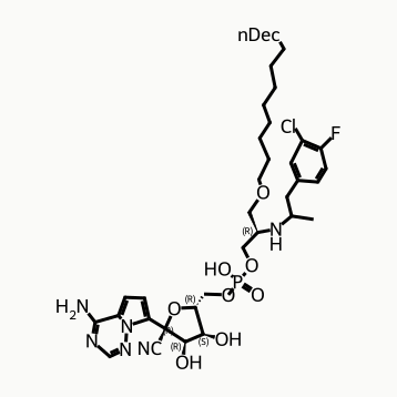 CCCCCCCCCCCCCCCCCCOC[C@H](COP(=O)(O)OC[C@H]1O[C@@](C#N)(c2ccc3c(N)ncnn23)[C@H](O)[C@@H]1O)NC(C)Cc1ccc(F)c(Cl)c1